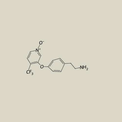 NCCc1ccc(Oc2c[n+]([O-])ccc2C(F)(F)F)cc1